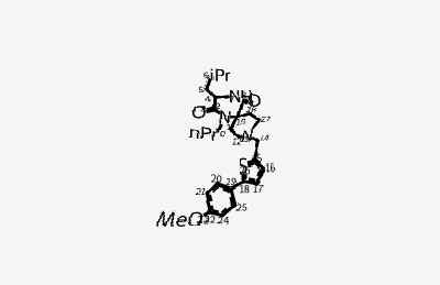 CCCN1C(=O)C(CC(C)C)NC(=O)C12CCN(Cc1ccc(-c3ccc(OC)cc3)s1)CC2